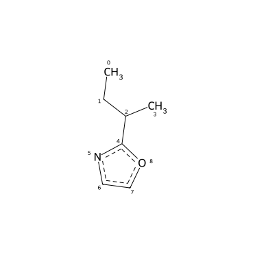 CCC(C)c1ncco1